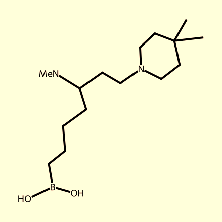 CNC(CCCCB(O)O)CCN1CCC(C)(C)CC1